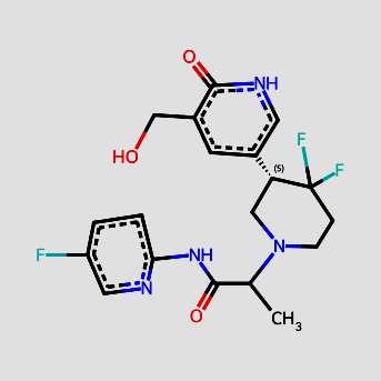 CC(C(=O)Nc1ccc(F)cn1)N1CCC(F)(F)[C@@H](c2c[nH]c(=O)c(CO)c2)C1